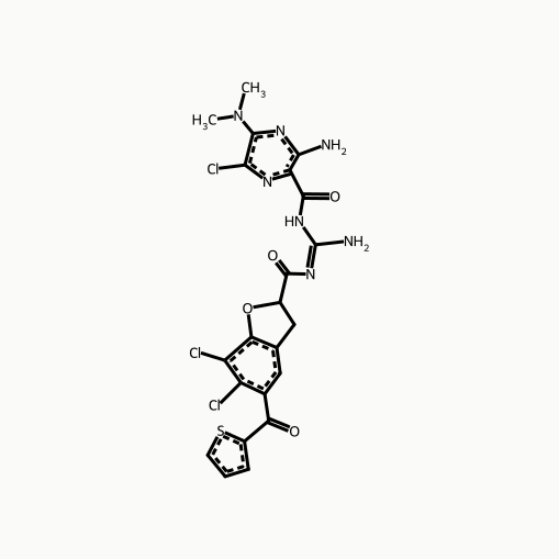 CN(C)c1nc(N)c(C(=O)NC(N)=NC(=O)C2Cc3cc(C(=O)c4cccs4)c(Cl)c(Cl)c3O2)nc1Cl